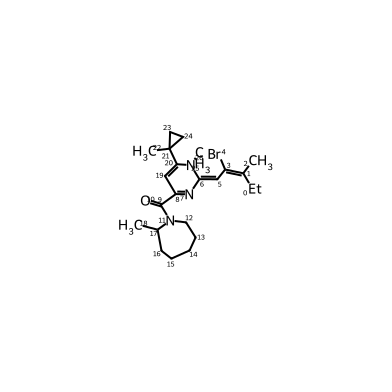 CC/C(C)=C(Br)\C=C1\N=C(C(=O)N2CCCCCC2C)C=C(C2(C)CC2)N1C